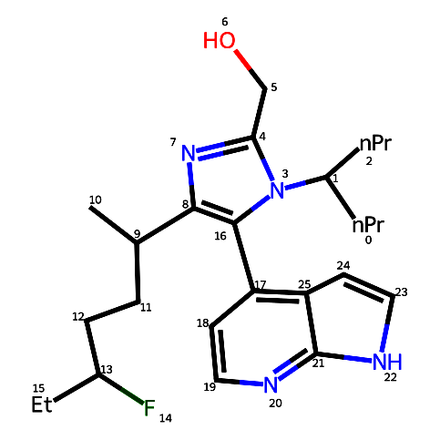 CCCC(CCC)n1c(CO)nc(C(C)CCC(F)CC)c1-c1ccnc2[nH]ccc12